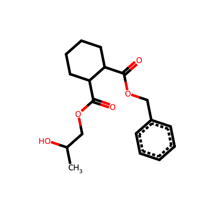 CC(O)COC(=O)C1CCCCC1C(=O)OCc1ccccc1